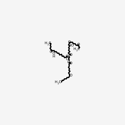 CCCCCCCCC1OC1CCCCCCCC(=O)OCC(COC(=O)CCCCCCCC1OC1CC(O)CCC1OC1CC)OC(=O)CCCCCCCCC(O)CC1OC1CCCCC